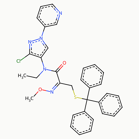 CCN(C(=O)C(CSC(c1ccccc1)(c1ccccc1)c1ccccc1)=NOC)c1cn(-c2cccnc2)nc1Cl